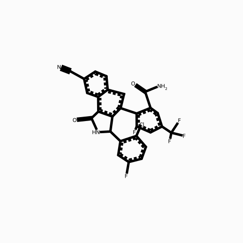 N#Cc1ccc2cc(-c3c(F)cc(C(F)(F)F)cc3C(N)=O)c3c(c2c1)C(=O)NC3c1cc(F)ccc1Cl